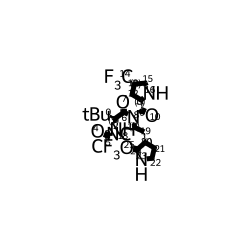 CC(C)(C)[C@H](NC(=O)C(F)(F)F)C(=O)N(C(=O)[C@@H]1C[C@@H](C(F)(F)F)CN1)[C@H](C#N)C[C@@H]1CCNC1=O